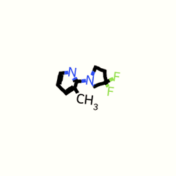 Cc1cccnc1N1CCC(F)(F)C1